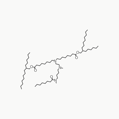 CCCCCCCCC(CCCCCC)COC(=O)CCCCCCCN(CCCCCCCC(=O)OCC(CCCCCC)CCCCCCCC)CCN(C)CCCCN(C)C(=O)CCCCCCC